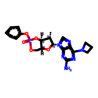 C[C@H]1[C@@H]2OP(=O)(Oc3ccccc3)OC[C@H]2O[C@H]1n1cnc2c(N3CCC3)nc(N)nc21